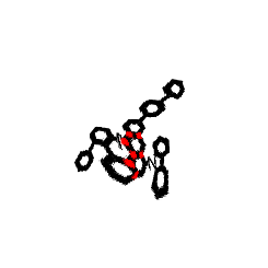 c1ccc(-c2ccc(-c3ccc(N(c4cccc(-n5c6ccccc6c6ccccc65)c4)c4cccc(-c5ccccc5)c4-c4ccccc4-c4ccccc4)cc3)cc2)cc1